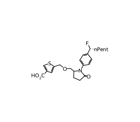 CCCCC[C@@H](F)c1ccc(N2C(=O)CCC2COCc2cc(C(=O)O)cs2)cc1